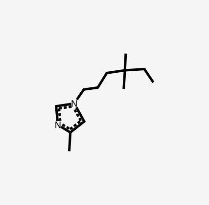 CCC(C)(C)CCCn1cnc(C)c1